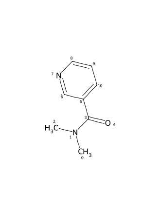 CN(C)C(=O)c1[c]nccc1